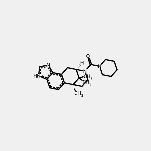 CC1(C)[C@H]2Cc3c(ccc4[nH]cnc34)[C@]1(C)CCN2C(=O)N1CCCCC1